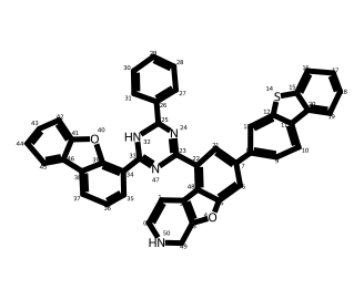 C1=Cc2c(oc3cc(-c4ccc5c(c4)sc4ccccc45)cc(C4=NC(c5ccccc5)NC(c5cccc6c5oc5ccccc56)=N4)c23)CN1